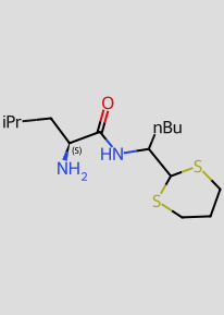 CCCCC(NC(=O)[C@@H](N)CC(C)C)C1SCCCS1